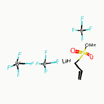 C=CCS(=O)(=O)OC.F[B-](F)(F)F.F[B-](F)(F)F.F[B-](F)(F)F.[LiH]